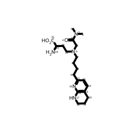 CN(C)C(=O)CN(CCCCc1ccc2c(n1)NCCC2)CCC(N)C(=O)O